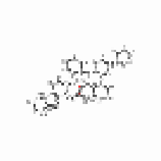 c1ccc(-c2ccc(N(c3ccccc3-c3cccc4c3ccc3c5ccccc5oc43)c3cccc4ccccc34)cc2)cc1